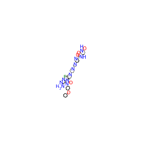 Nc1ncnc2c1n(-c1ccc(Oc3ccccc3)cc1)c(=O)n2[C@@H]1CCN(C2CCN(C3CN(c4ccc(C(=O)NC5CCC(=O)NC5=O)nc4)C3)CC2)C[C@@H]1F